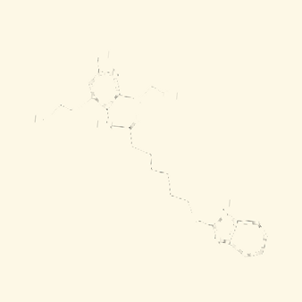 CCSc1cc(C)nc(SCC)c1NC(=O)CCCCCCSc1nc2ccccc2[nH]1